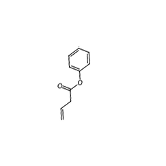 C=CCC(=O)Oc1cc[c]cc1